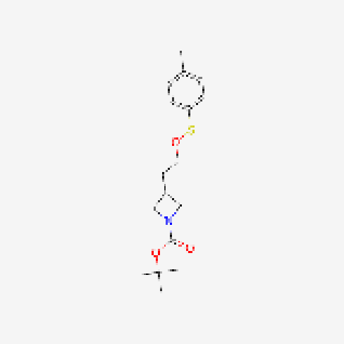 Cc1ccc(SOCCC2CN(C(=O)OC(C)(C)C)C2)cc1